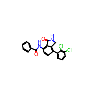 O=C(Nc1ccc(-c2cccc(Cl)c2Cl)c2c1C(=O)NC2)c1ccccc1